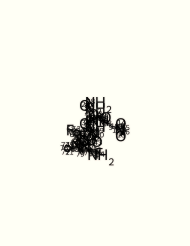 CC(C)[C@H](NC(=O)CCCCCN1C(=O)C=CC1=O)C(=O)N[C@@H](CCCNC(N)=O)C(=O)N[C@H](C)C(=O)N1CCCC1C(=O)OCC(=O)N(CC[C@H](N)CF)[C@@H](c1nc(-c2cc(F)ccc2F)cn1Cc1ccccc1)C(C)(C)C